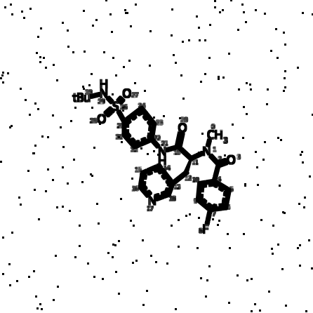 CN(C(=O)c1ccc(F)cc1)[C@@H](Cc1cccnc1)C(=O)Nc1ccc(S(=O)(=O)NC(C)(C)C)cc1